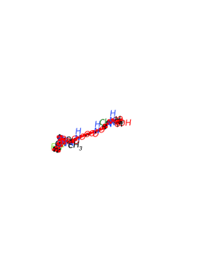 C#Cc1c(F)ccc2cccc(-c3ncc4c(N5CC6CCC(C5)N6C(=O)OC(C)(C)C)nc(OC[C@@H]5C[C@@H](OC(=O)NCCOCCOCCOCC(=O)NCCOc6ccc(-c7nc8nc(O[C@@H]9CO[C@H]%10[C@@H]9OC[C@H]%10O)[nH]c8cc7Cl)cc6)CN5C)nc4c3F)c12